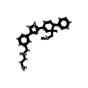 COCC1(C)C=C(c2nc(-c3cccc(CNCCO)c3)no2)C=CC1c1ccccc1